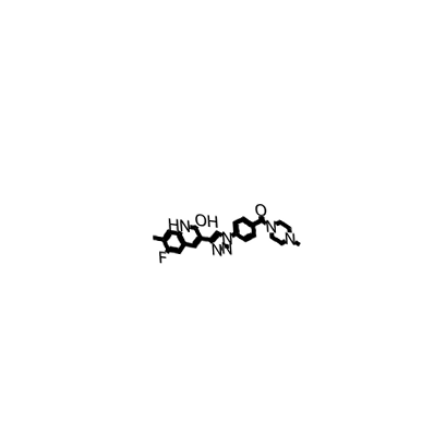 Cc1cc2c(cc1F)C=C(c1cn(-c3ccc(C(=O)N4CCN(C)CC4)cc3)nn1)C(O)N2